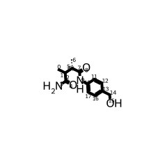 CC(C(N)=O)[C@H](C)C(=O)Nc1ccc(CO)cc1